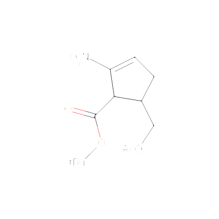 CC(=O)OCC1CC=C([N+](=O)[O-])C1C(=O)OC(C)(C)C